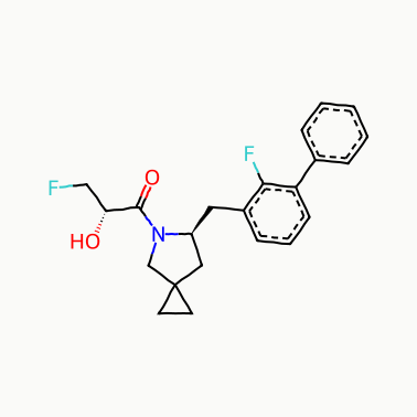 O=C([C@H](O)CF)N1CC2(CC2)C[C@@H]1Cc1cccc(-c2ccccc2)c1F